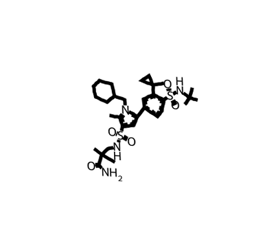 Cc1c(S(=O)(=O)NCC(C)(C)C(N)=O)cc(-c2ccc(S(=O)(=O)NC(C)(C)C)c(C3(C)CC3)c2)n1CC1CCCCC1